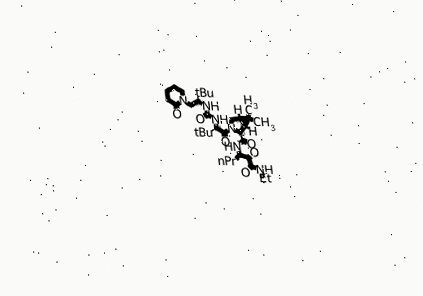 CCCC(NC(=O)[C@@H]1[C@@H]2[C@H](CN1C(=O)[C@@H](NC(=O)N[C@H](CN1CCCCC1=O)C(C)(C)C)C(C)(C)C)C2(C)C)C(=O)C(=O)NCC